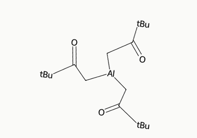 CC(C)(C)C(=O)[CH2][Al]([CH2]C(=O)C(C)(C)C)[CH2]C(=O)C(C)(C)C